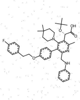 Cc1nc(CNc2ccccc2)c(-c2ccc(OCCc3ccc(F)cc3)cc2)c(N2CCC(C)(C)CC2)c1[C@H](OC(C)(C)C)C(=O)O